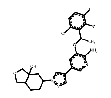 C[C@@H](Oc1cc(-c2cnn(C3CCC4COCC4(O)C3)c2)cnc1N)c1c(Cl)ccc(F)c1Cl